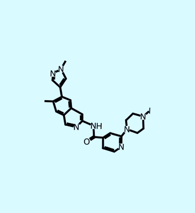 Cc1cc2cnc(NC(=O)c3ccnc(N4CCN(I)CC4)c3)cc2cc1-c1cnn(C)c1